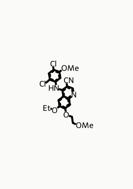 CCOc1cc2c(Nc3cc(OC)c(Cl)cc3Cl)c(C#N)cnc2cc1OCCOC